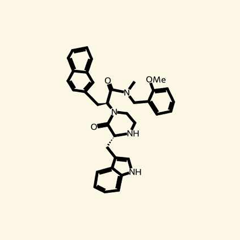 COc1ccccc1CN(C)C(=O)[C@H](Cc1ccc2ccccc2c1)N1CCN[C@H](Cc2c[nH]c3ccccc23)C1=O